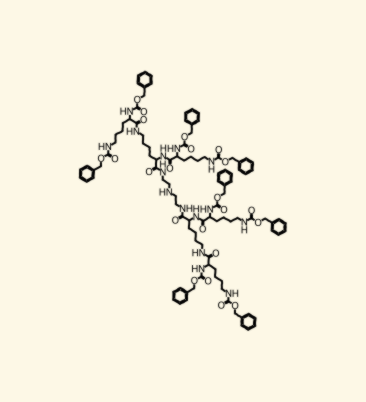 O=C(NCCCCC(NC(=O)OCc1ccccc1)C(=O)NCCCCC(NC(=O)C(CCCCNC(=O)OCc1ccccc1)NC(=O)OCc1ccccc1)C(=O)NCCNCCNC(=O)C(CCCCNC(=O)C(CCCCNC(=O)OCc1ccccc1)NC(=O)OCc1ccccc1)NC(=O)C(CCCCNC(=O)OCc1ccccc1)NC(=O)OCc1ccccc1)OCc1ccccc1